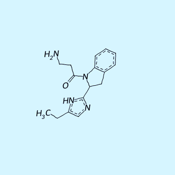 CCc1cnc(C2Cc3ccccc3N2C(=O)CCN)[nH]1